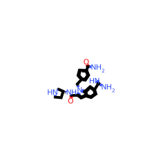 N=C(N)c1ccc2cc(C(=O)N[C@H]3CCNC3)n(Cc3ccc(C(N)=O)cc3)c2c1